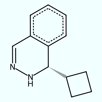 C1=NN[C@@H](C2CCC2)c2ccccc21